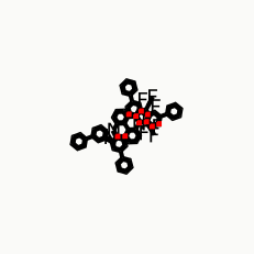 N#Cc1cccc(-n2c3ccc(-c4ccccc4)cc3c3cc(-c4ccccc4)ccc32)c1-c1c(-c2cc(C(F)(F)F)cc(C(F)(F)F)c2)cccc1-n1c2ccc(-c3ccccc3)cc2c2cc(-c3ccccc3)ccc21